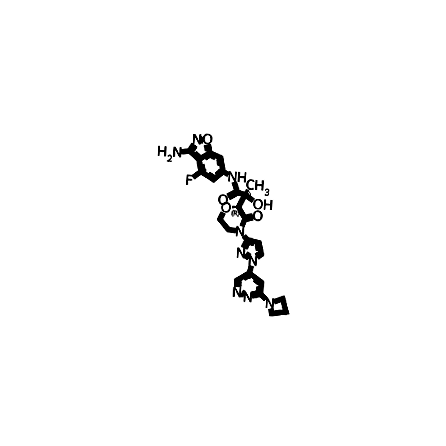 C[C@](O)(C(=O)Nc1cc(F)c2c(N)noc2c1)[C@H]1OCCN(c2ccn(-c3cnnc(N4CCC4)c3)n2)C1=O